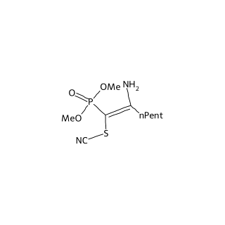 CCCCC/C(N)=C(\SC#N)P(=O)(OC)OC